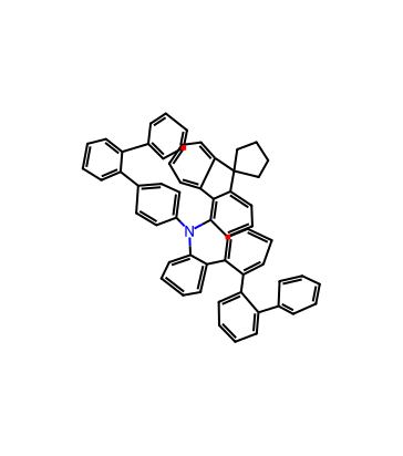 c1ccc(-c2ccccc2-c2ccc(N(c3ccccc3-c3ccccc3-c3ccccc3-c3ccccc3)c3cccc4c3-c3ccccc3C43CCCC3)cc2)cc1